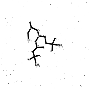 CC(CN)CN(CCC(C)(C)N)CC(C)CC(C)(C)N